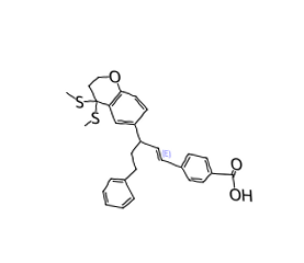 CSC1(SC)CCOc2ccc(C(/C=C/c3ccc(C(=O)O)cc3)CCc3ccccc3)cc21